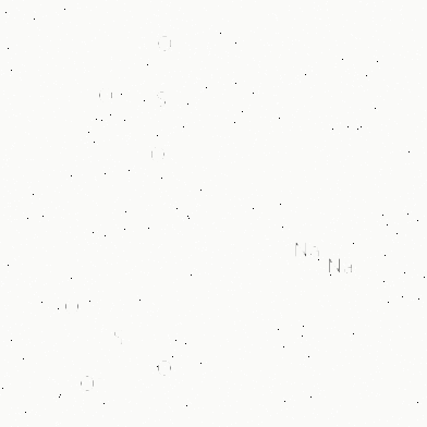 O=S(=O)([O-])c1ccc(-c2ccccc2S(=O)(=O)[O-])cc1.[Na+].[Na+]